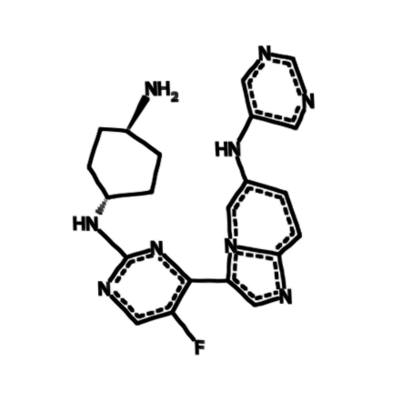 N[C@H]1CC[C@H](Nc2ncc(F)c(-c3cnc4ccc(Nc5cncnc5)cn34)n2)CC1